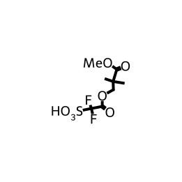 COC(=O)C(C)(C)COC(=O)C(F)(F)S(=O)(=O)O